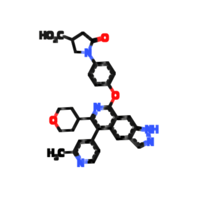 Cc1cc(-c2c(C3CCOCC3)nc(Oc3ccc(N4CC(C(=O)O)CC4=O)cc3)c3cc4[nH]ncc4cc23)ccn1